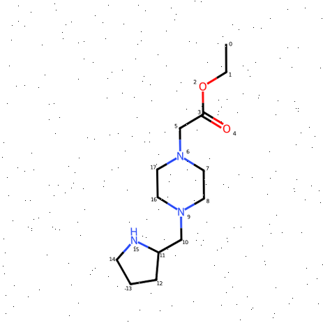 CCOC(=O)CN1CCN(CC2CCCN2)CC1